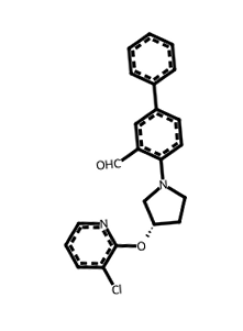 O=Cc1cc(-c2ccccc2)ccc1N1CC[C@H](Oc2ncccc2Cl)C1